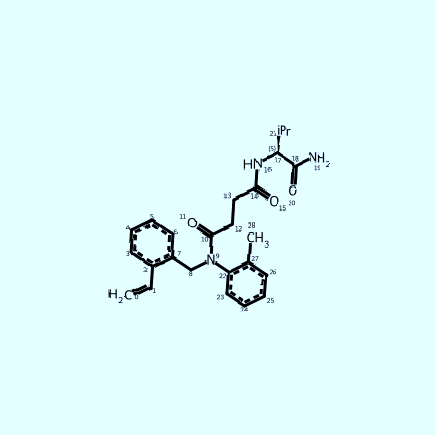 C=Cc1ccccc1CN(C(=O)CCC(=O)N[C@H](C(N)=O)C(C)C)c1ccccc1C